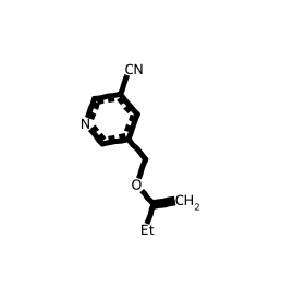 C=C(CC)OCc1cncc(C#N)c1